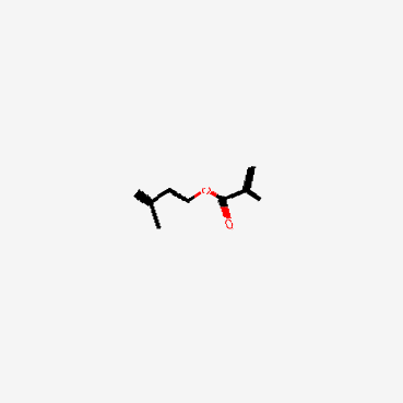 C=C(C)CCOC(=O)C(=C)C